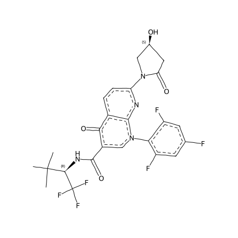 CC(C)(C)[C@@H](NC(=O)c1cn(-c2c(F)cc(F)cc2F)c2nc(N3C[C@@H](O)CC3=O)ccc2c1=O)C(F)(F)F